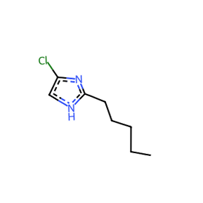 CCCCCc1nc(Cl)c[nH]1